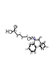 CC(/C(=N/OCCCCC(=O)O)c1ccccc1)n1ccnc1